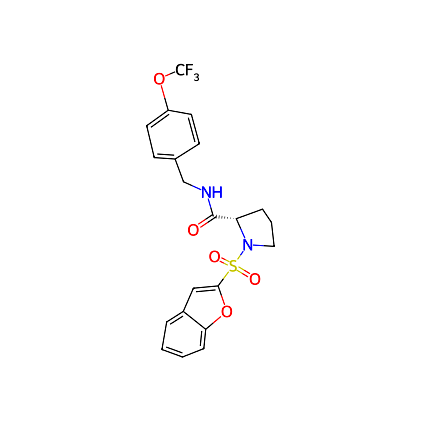 O=C(NCc1ccc(OC(F)(F)F)cc1)[C@@H]1CCCN1S(=O)(=O)c1cc2ccccc2o1